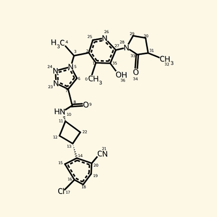 Cc1c(C(C)n2cc(C(=O)N[C@H]3C[C@@H](c4cc(Cl)ccc4C#N)C3)nn2)cnc(N2CCC(C)C2=O)c1O